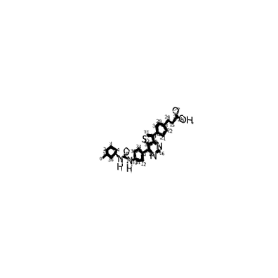 Cc1cccc(NC(=O)Nc2ccc(-c3ncnc4c(-c5ccc(CCC(=O)O)cc5)csc34)cc2)c1